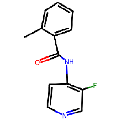 Cc1ccccc1C(=O)Nc1ccncc1F